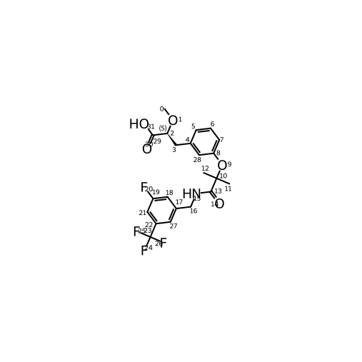 CO[C@@H](Cc1cccc(OC(C)(C)C(=O)NCc2cc(F)cc(C(F)(F)F)c2)c1)C(=O)O